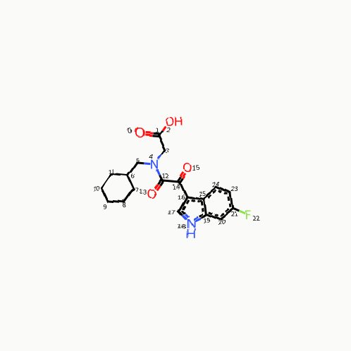 O=C(O)CN(CC1CCCCC1)C(=O)C(=O)c1c[nH]c2cc(F)ccc12